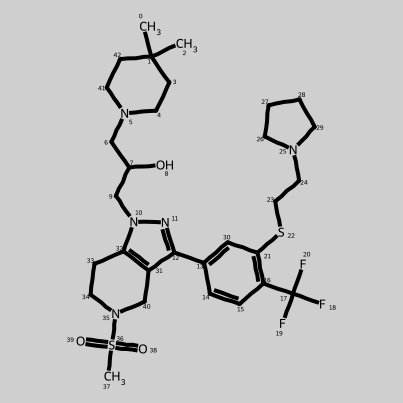 CC1(C)CCN(CC(O)Cn2nc(-c3ccc(C(F)(F)F)c(SCCN4CCCC4)c3)c3c2CCN(S(C)(=O)=O)C3)CC1